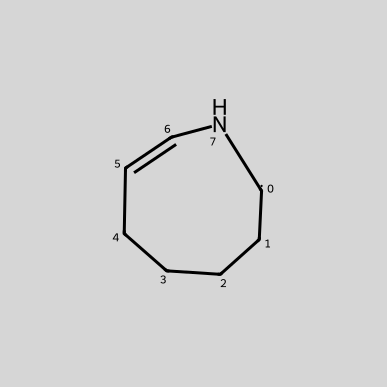 [CH]1CCCC/C=C\N1